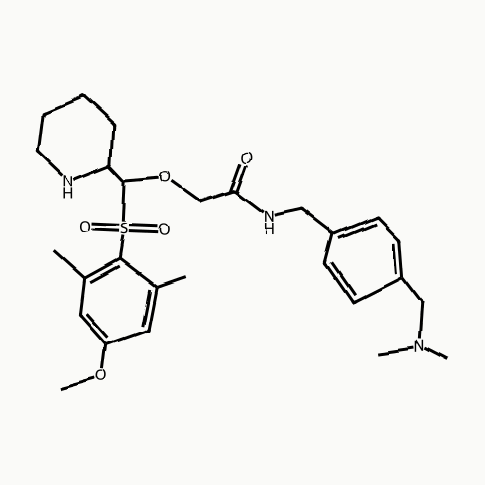 COc1cc(C)c(S(=O)(=O)C(OCC(=O)NCc2ccc(CN(C)C)cc2)C2CCCCN2)c(C)c1